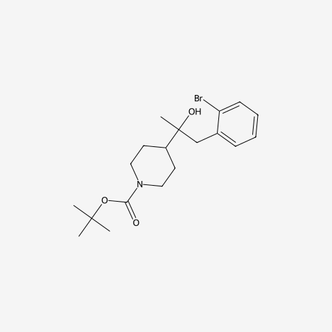 CC(C)(C)OC(=O)N1CCC(C(C)(O)Cc2ccccc2Br)CC1